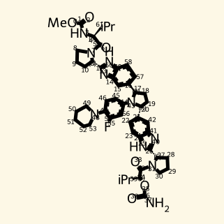 COC(=O)N[C@H](C(=O)N1CCC[C@H]1c1nc2cc([C@H]3CC[C@H](c4ccc5[nH]c([C@@H]6CCCN6C(=O)[C@@H](OC(N)=O)C(C)C)nc5c4)N3c3ccc(N4CCCCC4)c(F)c3)ccc2[nH]1)C(C)C